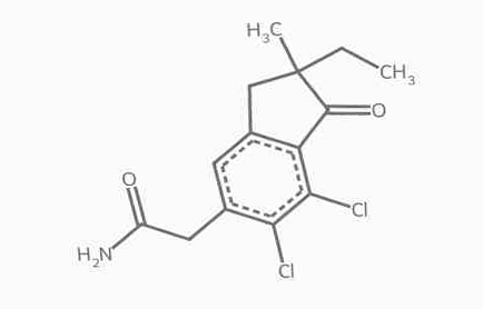 CCC1(C)Cc2cc(CC(N)=O)c(Cl)c(Cl)c2C1=O